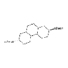 CCCCC[C@H]1CCC2C(CCC3C[C@@H](CCCCC)CCC32)C1